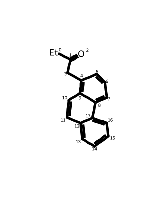 CCC(=O)Cc1cccc2c1ccc1ccccc12